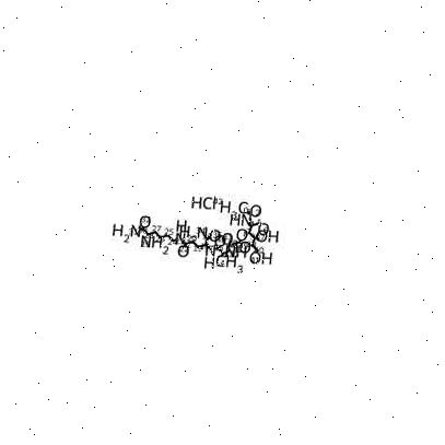 CC(=O)N[C@@H](C=O)[C@@H](OCC(=O)NC(C)C(=O)NC(CCC(=O)NCCCCC(N)C(N)=O)C(N)=O)[C@H](O)[C@H](O)CO.Cl